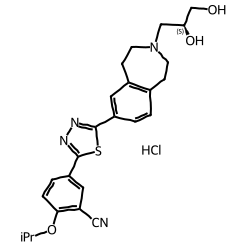 CC(C)Oc1ccc(-c2nnc(-c3ccc4c(c3)CCN(C[C@H](O)CO)CC4)s2)cc1C#N.Cl